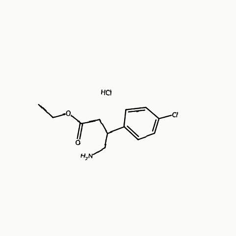 CCOC(=O)CC(CN)c1ccc(Cl)cc1.Cl